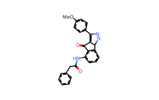 COc1ccc(C2=C3C(=O)c4c(NC(=O)Cc5ccccc5)cccc4C3N=N2)cc1